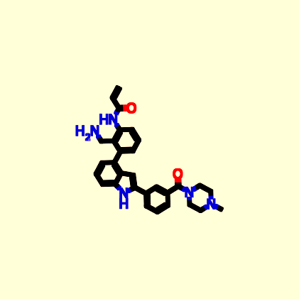 C=CC(=O)Nc1cccc(-c2cccc3[nH]c(-c4cccc(C(=O)N5CCN(C)CC5)c4)cc23)c1CN